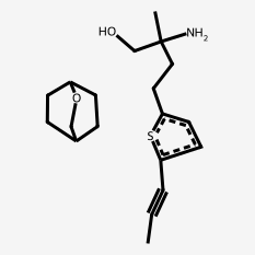 C1CC2CCC1CO2.CC#Cc1ccc(CCC(C)(N)CO)s1